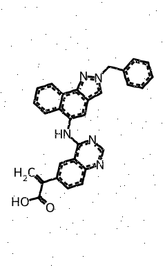 C=C(C(=O)O)c1ccc2ncnc(Nc3cc4cn(Cc5ccccc5)nc4c4ccccc34)c2c1